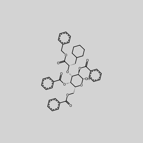 O=C(OC[C@H]1O[C@@H](O)[C@H](OC(=O)c2ccccc2)[C@@H](O[C@@H](CC2CCCCC2)C(=O)OCc2ccccc2)[C@H]1OC(=O)c1ccccc1)c1ccccc1